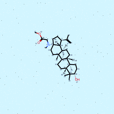 C=C(C)[C@@H]1CC[C@]2(N(C)CC(=O)OC)CC[C@]3(C)[C@H](CC[C@@H]4[C@@]5(C)CC[C@H](O)C(C)(C)[C@@H]5CC[C@]43C)[C@@H]12